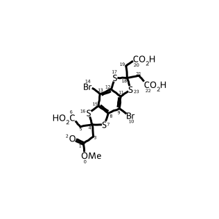 COC(=O)CC1(CC(=O)O)Sc2c(Br)c3c(c(Br)c2S1)SC(CC(=O)O)(CC(=O)O)S3